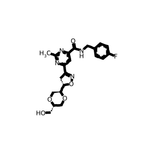 Cc1nc(C(=O)NCc2ccc(F)cc2)cc(C2=NO[C@H]([C@@H]3CO[C@@H](CO)CO3)C2)n1